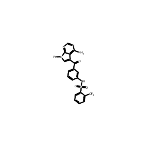 CC(C)n1cc(C(=O)c2cccc(NS(=O)(=O)c3ccccc3C(F)(F)F)c2)c2c(N)ncnc21